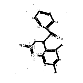 Cc1cc(C)c(C(C[SH](=O)=O)C(=O)c2ccccc2)c(C)c1